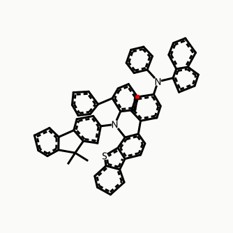 CC1(C)c2ccccc2-c2ccc(N(c3ccccc3-c3ccccc3)c3c(-c4ccc(N(c5ccccc5)c5cccc6ccccc56)cc4)ccc4c3sc3ccccc34)cc21